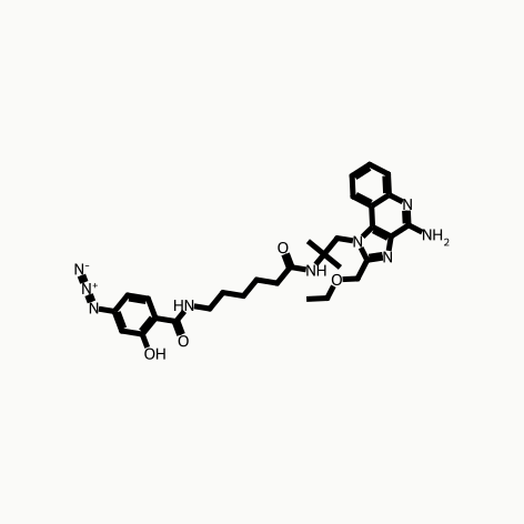 CCOCc1nc2c(N)nc3ccccc3c2n1CC(C)(C)NC(=O)CCCCCNC(=O)c1ccc(N=[N+]=[N-])cc1O